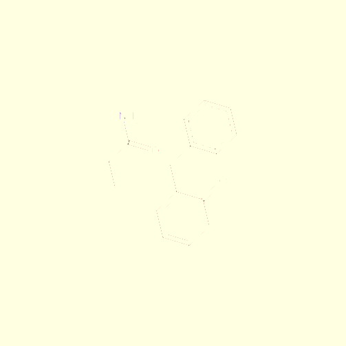 CCC(N)=O.O=C1CC=CC=C1Cc1ccccc1